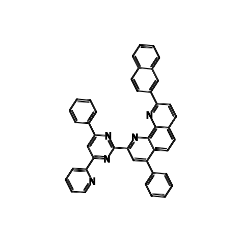 c1ccc(-c2cc(-c3ccccn3)nc(-c3cc(-c4ccccc4)c4ccc5ccc(-c6ccc7ccccc7c6)nc5c4n3)n2)cc1